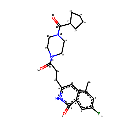 Cc1cc(F)cc2c(=O)[nH]c(CCC(=O)N3CCN(C(=O)C4CCCC4)CC3)cc12